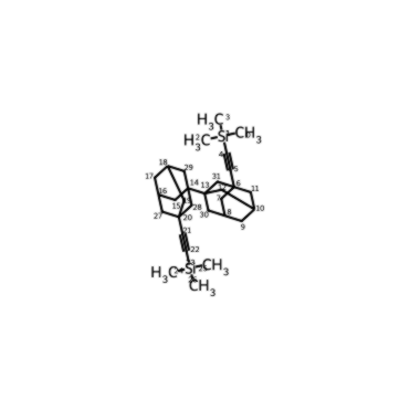 C[Si](C)(C)C#CC12CC3CC(C1)CC(C14CC5CC(CC(C#C[Si](C)(C)C)(C5)C1)C4)(C3)C2